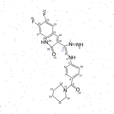 N=N/C(=C\Nc1ccc(C(=O)N2CCCCC2)cc1)c1cc2cc(F)c(F)cc2[nH]c1=O